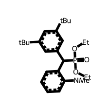 CCOP(=O)(OCC)C(c1cc(C(C)(C)C)cc(C(C)(C)C)c1)c1ccccc1NC